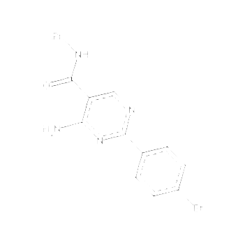 CCc1ccc(-c2ncc(C(=O)NC(C)C)c(N)n2)cc1